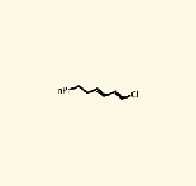 CCCCCC=CC=CCl